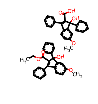 CCOC(=O)C1=C(c2ccccc2)c2ccc(OC)cc2C1(O)c1ccccc1.COc1ccc2c(c1)C(O)(c1ccccc1)C(C(=O)O)=C2c1ccccc1